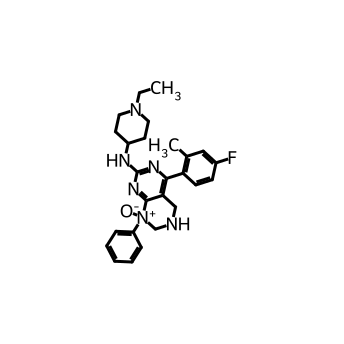 CCN1CCC(Nc2nc(-c3ccc(F)cc3C)c3c(n2)[N+]([O-])(c2ccccc2)CNC3)CC1